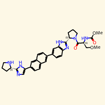 COC[C@H](NC(=O)OC)C(=O)N1CCC[C@H]1c1nc2ccc(-c3ccc4cc(-c5cnc([C@@H]6CCCN6)[nH]5)ccc4c3)cc2[nH]1